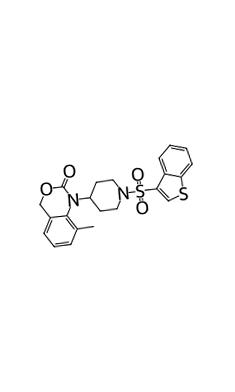 Cc1cccc2c1N(C1CCN(S(=O)(=O)c3csc4ccccc34)CC1)C(=O)OC2